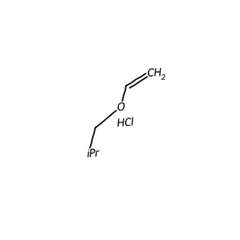 C=COCC(C)C.Cl